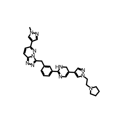 Cn1cc(-c2ccc3nnc(Cc4cccc(C5=NC=C(c6cnn(CCN7CCCC7)c6)CN5)c4)n3n2)cn1